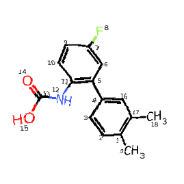 Cc1ccc(-c2cc(F)ccc2NC(=O)O)cc1C